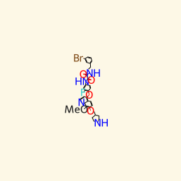 COc1c(OCC2CCNCC2)ccc2c(Oc3ccc(NC(=O)C(=O)NCCc4cccc(Br)c4)cc3F)ccnc12